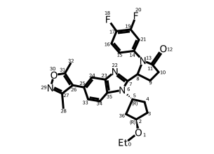 CCO[C@@H]1CC[C@@H](n2c(C3CCC(=O)N3c3ccc(F)c(F)c3)nc3cc(-c4c(C)noc4C)ccc32)C1